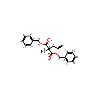 C=CCC(CC)(C(=O)OCc1ccccc1)C(=O)OCc1ccccc1